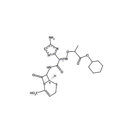 CC(O/N=C(/C(=O)NC1C(=O)N2C(C(=O)O)=CCS[C@H]12)c1nsc(N)n1)C(=O)OC1CCCCC1